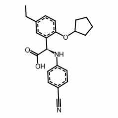 CCc1ccc(OC2CCCC2)c([C@@H](Nc2ccc(C#N)cc2)C(=O)O)c1